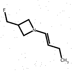 CCC=CN1CC(CF)C1